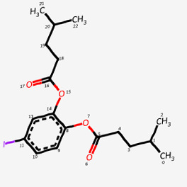 CC(C)CCC(=O)Oc1ccc(I)cc1OC(=O)CCC(C)C